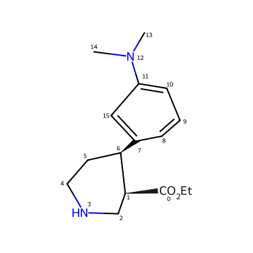 CCOC(=O)[C@H]1CNCC[C@H]1c1cccc(N(C)C)c1